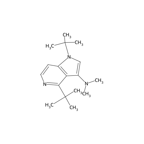 CN(C)c1cn(C(C)(C)C)c2ccnc(C(C)(C)C)c12